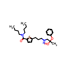 CCCCN(CCCC)C(=O)c1ccc(CCCNCC(C)(O)Oc2ccccc2)s1